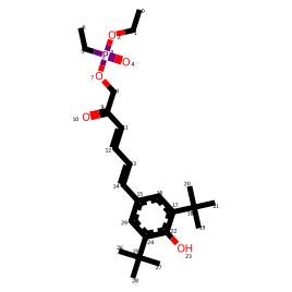 CCOP(=O)(CC)OCC(=O)C=CC=Cc1cc(C(C)(C)C)c(O)c(C(C)(C)C)c1